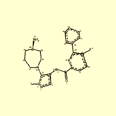 Cn1ncc(NC(=O)c2ccc(F)c(-c3ccccc3)n2)c1N1CCC[C@@H](N)CC1